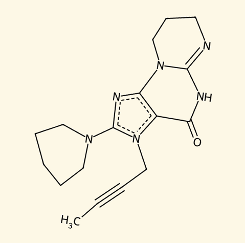 CC#CCn1c(N2CCCCC2)nc2c1C(=O)NC1=NCCCN12